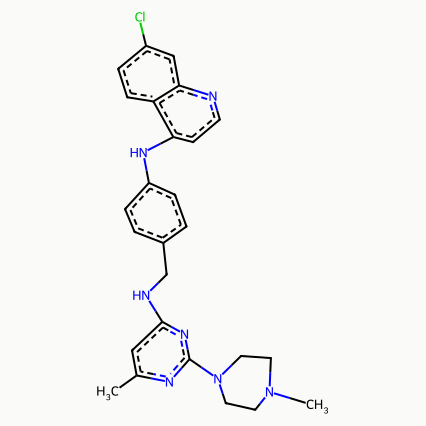 Cc1cc(NCc2ccc(Nc3ccnc4cc(Cl)ccc34)cc2)nc(N2CCN(C)CC2)n1